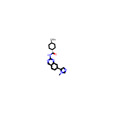 CO[C@H]1CC[C@H](C(=O)Nc2ncc3ccc(-c4cncn4C)cc3n2)CC1